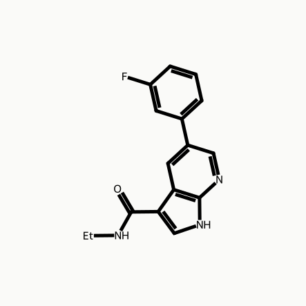 CCNC(=O)c1c[nH]c2ncc(-c3cccc(F)c3)cc12